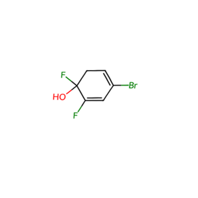 OC1(F)CC=C(Br)C=C1F